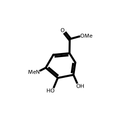 CNc1cc(C(=O)OC)cc(O)c1O